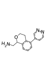 NCC1OCCc2c(-c3ccnnc3)cccc21